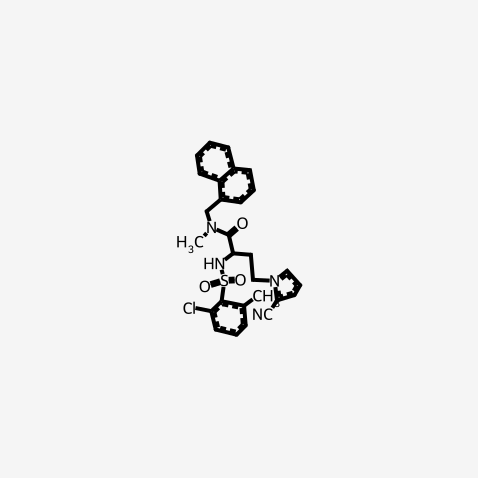 Cc1cccc(Cl)c1S(=O)(=O)NC(CCn1cccc1C#N)C(=O)N(C)Cc1cccc2ccccc12